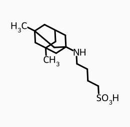 CC12CC3CC(C)(C1)CC(NCCCCS(=O)(=O)O)(C3)C2